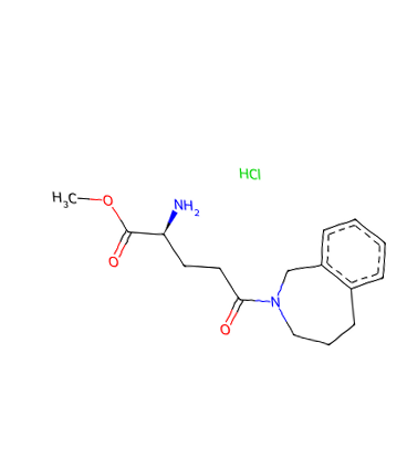 COC(=O)[C@@H](N)CCC(=O)N1CCCc2ccccc2C1.Cl